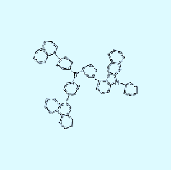 c1ccc(-n2c3cc4ccccc4cc3c3c(-c4cccc(N(c5ccc(-c6cccc7ccccc67)cc5)c5ccc(-c6cc7ccccc7c7ccccc67)cc5)c4)cccc32)cc1